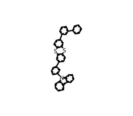 c1ccc(-c2cccc(-c3ccc4c(c3)Sc3ccc(-c5cccc(-n6c7ccccc7c7ccccc76)c5)cc3S4)c2)cc1